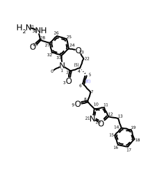 CN1C(=O)[C@@H](/C=C/CC(=O)c2cc(Cc3ccccc3)on2)COc2ccc(C(=O)NN)cc21